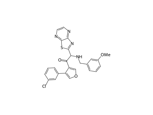 COc1cccc(CNC(C(=O)c2cocc2-c2cccc(Cl)c2)c2nc3nccnc3s2)c1